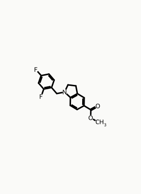 COC(=O)c1ccc2c(c1)CCN2Cc1ccc(F)cc1F